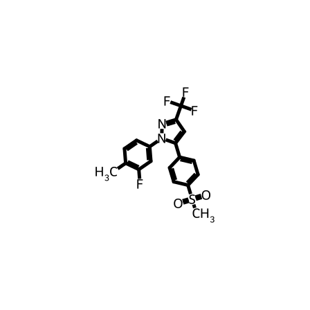 Cc1ccc(-n2nc(C(F)(F)F)cc2-c2ccc(S(C)(=O)=O)cc2)cc1F